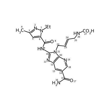 CCn1nc(C)cc1C(=O)Nc1nc2cc(C(N)=O)cnc2n1CC=CCNC(=O)O